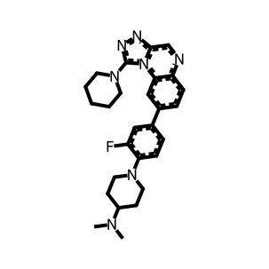 CN(C)C1CCN(c2ccc(-c3ccc4ncc5nnc(N6CCCCC6)n5c4c3)cc2F)CC1